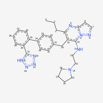 CCCc1nc2ccnn2c(NCCN2CCCC2)c1Cc1ccc(-c2ccccc2-c2nnn[nH]2)cc1